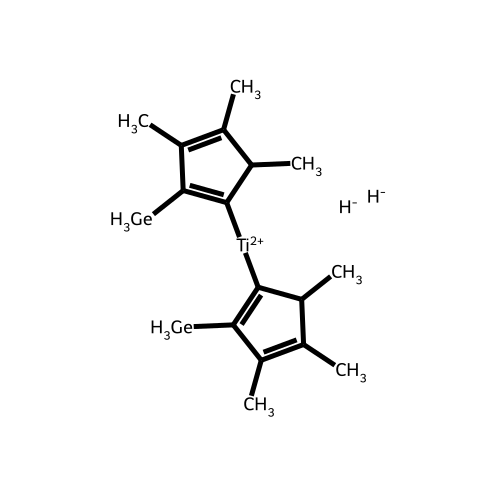 CC1=C(C)C(C)[C]([Ti+2][C]2=[C]([GeH3])C(C)=C(C)C2C)=[C]1[GeH3].[H-].[H-]